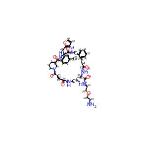 CC(C)(C)c1ccc(C[C@]23CCCN(C2)C(=O)/C=C/C(=O)NCC[C@@H](C(=O)NCCOCCN)NC(=O)Cc2ccccc2CNC(=O)[C@H](Cc2ccco2)NC3=O)cc1